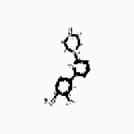 CC(C)COc1ccc(-c2cccc(N3CCNCC3)n2)cc1C(C)C